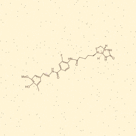 COc1cc(/C=N/NC(=O)c2ccc(NC(=O)CCCC[C@H]3SC[C@@H]4NC(=O)N[C@H]43)c(F)c2)cc(I)c1O